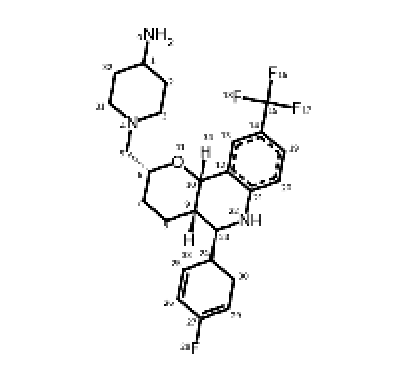 NC1CCN(C[C@H]2CC[C@@H]3[C@H](O2)c2cc(C(F)(F)F)ccc2N[C@H]3C2C=CC(F)=CC2)CC1